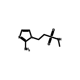 CNS(=O)(=O)CCn1ccnc1N